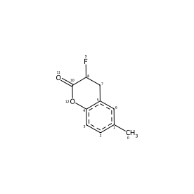 Cc1ccc2c(c1)CC(F)C(=O)O2